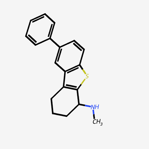 CNC1CCCc2c1sc1ccc(-c3ccccc3)cc21